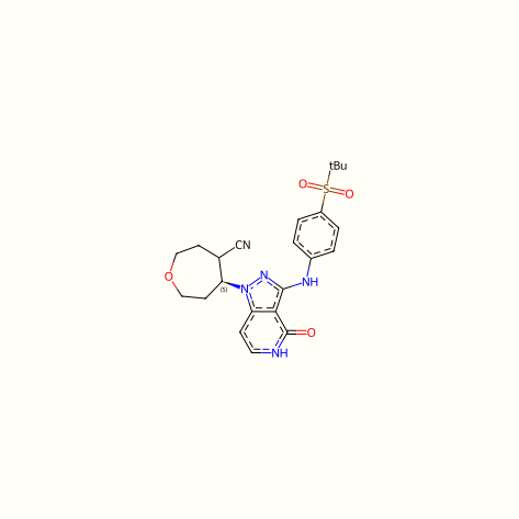 CC(C)(C)S(=O)(=O)c1ccc(Nc2nn([C@H]3CCOCCC3C#N)c3cc[nH]c(=O)c23)cc1